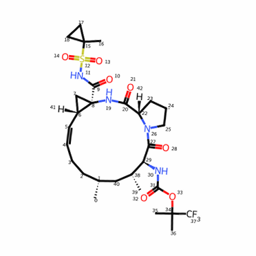 C[C@@H]1CC/C=C\[C@@H]2C[C@@]2(C(=O)NS(=O)(=O)C2(C)CC2)NC(=O)[C@@H]2C[CH]CN2C(=O)[C@@H](NC(=O)OC(C)(C)C(F)(F)F)[C@H](C)C1